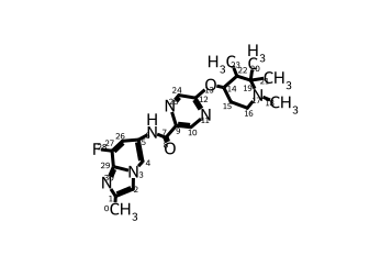 Cc1cn2cc(NC(=O)c3cnc(OC4CCN(C)C(C)(C)C4C)cn3)cc(F)c2n1